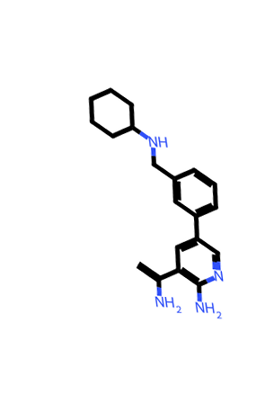 C=C(N)c1cc(-c2cccc(CNC3CCCCC3)c2)cnc1N